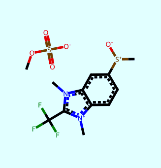 COS(=O)(=O)[O-].Cn1c(C(F)(F)F)[n+](C)c2ccc([S+](C)[O-])cc21